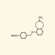 COc1ccc(COc2cccc3c2CCN(C)CC3)cc1